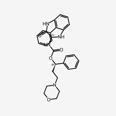 O=C(N[C@@H]1Nc2cccc(c2-c2ccccc2)NC1=O)O[C@H](CCN1CCOCC1)c1ccccc1